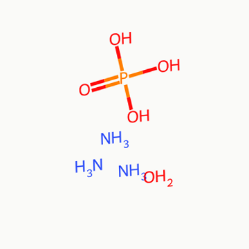 N.N.N.O.O=P(O)(O)O